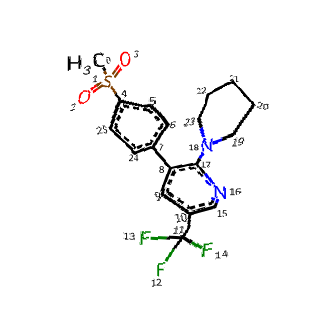 CS(=O)(=O)c1ccc(-c2cc(C(F)(F)F)cnc2N2CCCCC2)cc1